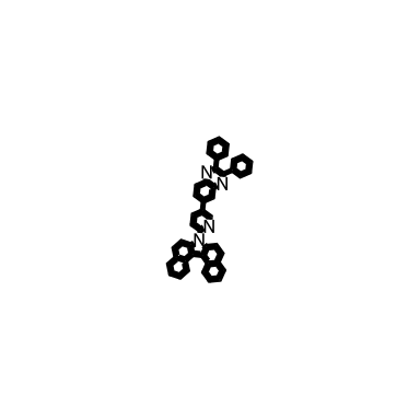 c1ccc(-c2nc3ccc(-c4ccc(-n5c6ccc7ccccc7c6c6c7ccccc7ccc65)nc4)cc3nc2-c2ccccc2)cc1